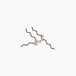 CCCCC[SiH](CCCCC)O[SiH](CCCCC)CCCCC